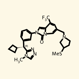 CSC1CCN(Cc2cc(C(F)(F)F)c3cn(-c4cccc([C@H](c5nncn5C)C5CCC5)c4)c(=O)n3c2)C1